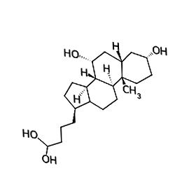 C[C@]12CC[C@@H](O)C[C@H]1C[C@@H](O)[C@H]1[C@@H]3CC[C@H](CCCC(O)O)C3CC[C@@H]12